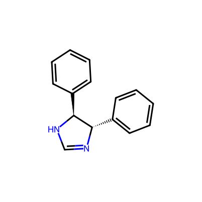 C1=N[C@@H](c2ccccc2)[C@H](c2ccccc2)N1